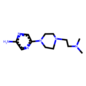 CN(C)CCN1CCN(c2cnc(N)cn2)CC1